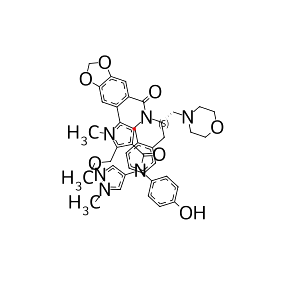 COCc1c(C(=O)N(c2ccc(O)cc2)c2cnn(C)c2)cc(-c2cc3c(cc2C(=O)N2Cc4ccccc4C[C@H]2CN2CCOCC2)OCO3)n1C